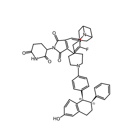 O=C1CCC(N2C(=O)c3cc(F)c(N4C5CC4CN(CC4CCN(c6ccc([C@@H]7c8ccc(O)cc8CC[C@@H]7c7ccccc7)cc6)CC4)C5)cc3C2=O)C(=O)N1